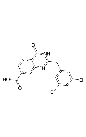 O=C(O)c1ccc2c(=O)[nH]c(Cc3cc(Cl)cc(Cl)c3)nc2c1